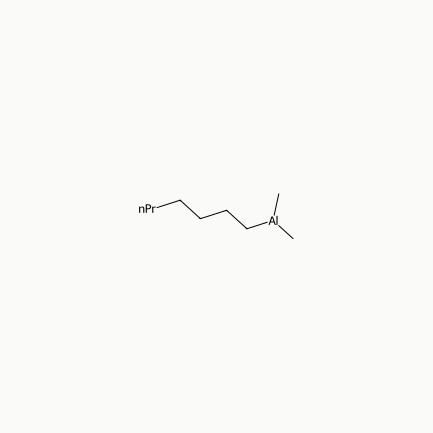 CCCCCC[CH2][Al]([CH3])[CH3]